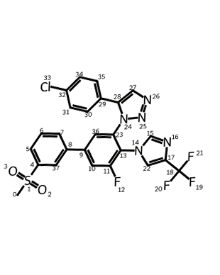 CS(=O)(=O)c1cccc(-c2cc(F)c(-n3cnc(C(F)(F)F)c3)c(-n3nncc3-c3ccc(Cl)cc3)c2)c1